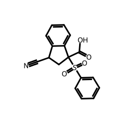 N#CC1CC(C(=O)O)(S(=O)(=O)c2ccccc2)c2ccccc21